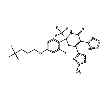 Cn1ccc(C2=C(c3nnn[nH]3)C(=O)N[C@@](c3ccc(OCCCC(F)(F)F)cc3F)(C(F)(F)F)C2)n1